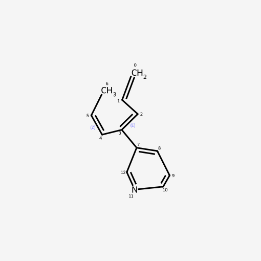 C=C/C=C(\C=C/C)c1cccnc1